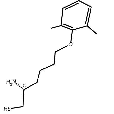 Cc1cccc(C)c1OCCCC[C@@H](N)CS